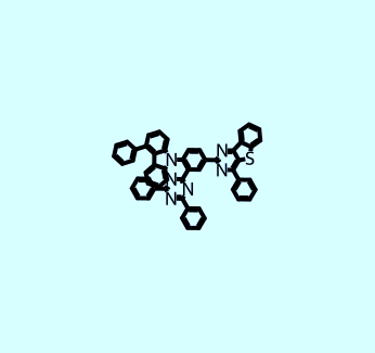 c1ccc(-c2nc(-c3ccccc3)nc(-c3cc(-c4nc(-c5ccccc5)c5sc6ccccc6c5n4)ccc3-n3c4ccccc4c4c(-c5ccccc5)cccc43)n2)cc1